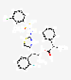 COC(C(=O)O[C@H](C)[C@@H](c1csc(NS(=O)(=O)c2cccc(Cl)c2C)n1)c1ccccc1F)c1ccccc1